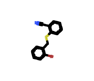 N#Cc1ccccc1SCc1ccccc1Br